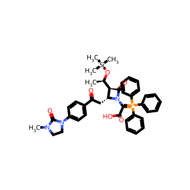 C[C@@H](O[Si](C)(C)C)[C@H]1C(=O)N(C(C(=O)O)=P(c2ccccc2)(c2ccccc2)c2ccccc2)[C@@H]1CC(=O)c1ccc(N2CCN(C)C2=O)cc1